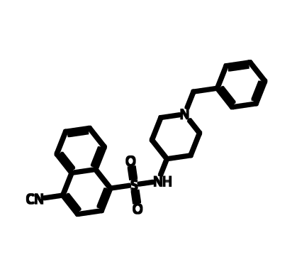 [C-]#[N+]c1ccc(S(=O)(=O)NC2CCN(Cc3ccccc3)CC2)c2ccccc12